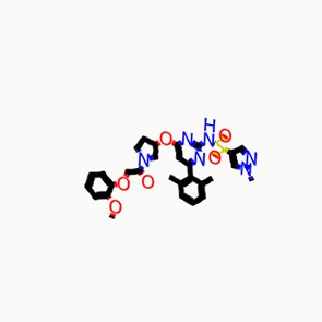 COc1ccccc1OCC(=O)N1CCC(Oc2cc(-c3c(C)cccc3C)nc(NS(=O)(=O)c3cnn(C)c3)n2)C1